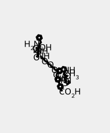 CC(C)C[C@H](NC(=O)[C@@H](O)[C@H](N)Cc1ccccc1)C(=O)NCCOCCOCCOc1cc2c(cc1Oc1ccc(-c3ccc(C(=O)O)cc3)c(F)c1)[C@@](C)(CC(=O)Nc1nccs1)NCC2